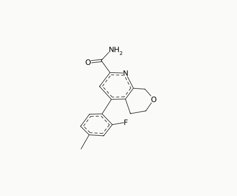 Cc1ccc(-c2cc(C(N)=O)nc3c2CCOC3)c(F)c1